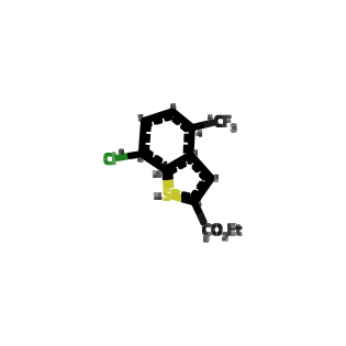 CCOC(=O)c1cc2c(C(F)(F)F)ccc(Cl)c2s1